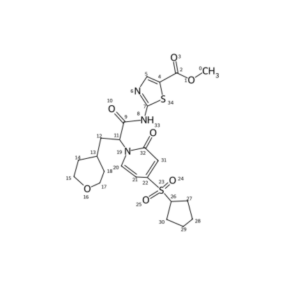 COC(=O)c1cnc(NC(=O)C(CC2CCOCC2)n2ccc(S(=O)(=O)C3CCCC3)cc2=O)s1